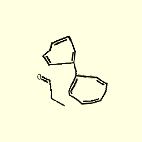 CCC=O.c1ccc(-c2ccccc2)cc1